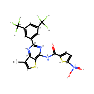 Cc1csc2c(NC(=O)c3ccc([N+](=O)[O-])s3)nc(-c3cc(C(F)(F)F)cc(C(F)(F)F)c3)nc12